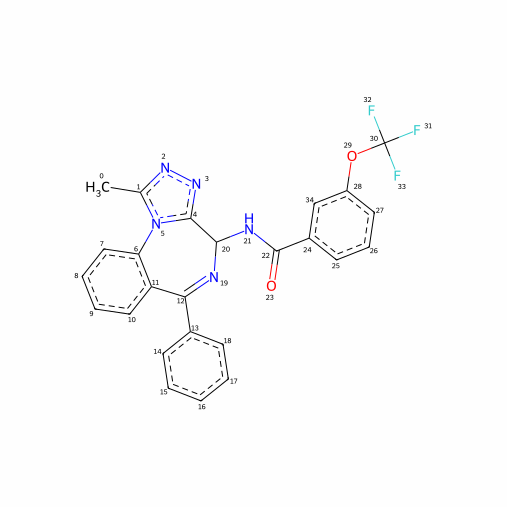 Cc1nnc2n1-c1ccccc1C(c1ccccc1)=NC2NC(=O)c1cccc(OC(F)(F)F)c1